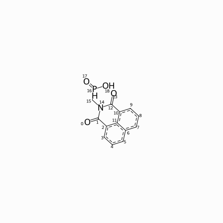 O=C1c2cccc3cccc(c23)C(=O)N1C[PH](=O)O